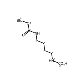 CC(C)(C)OC(=O)NCCCCNC(=O)O